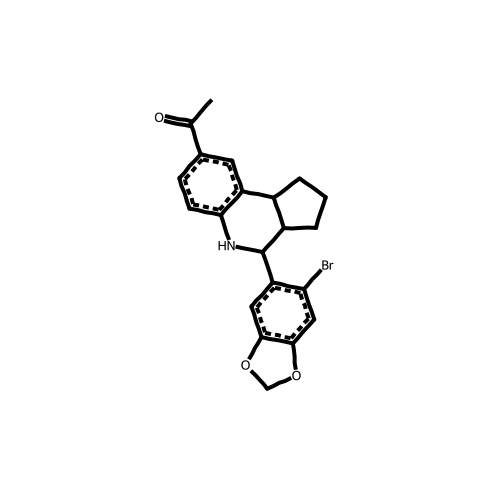 CC(=O)c1ccc2c(c1)C1CCCC1C(c1cc3c(cc1Br)OCO3)N2